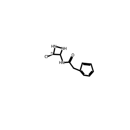 O=C(Cc1ccccc1)NC1NN[C@@H]1Cl